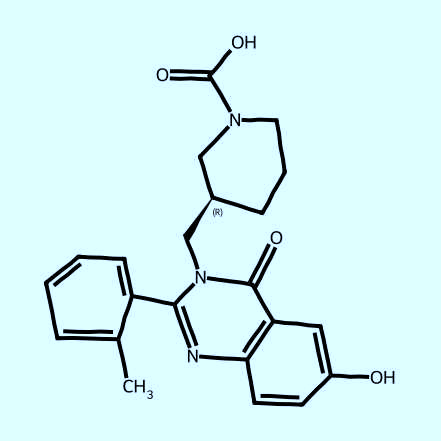 Cc1ccccc1-c1nc2ccc(O)cc2c(=O)n1C[C@@H]1CCCN(C(=O)O)C1